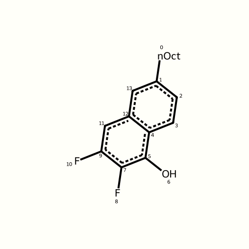 CCCCCCCCc1ccc2c(O)c(F)c(F)cc2c1